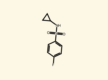 O=S(=O)(N[C]1CC1)c1ccc(F)cc1